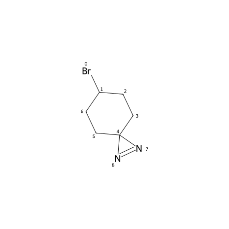 BrC1CCC2(CC1)N=N2